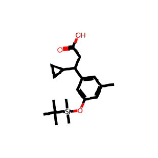 Cc1cc(O[Si](C)(C)C(C)(C)C)cc(C(CC(=O)O)C2CC2)c1